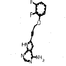 Nc1ncnc2[nH]c(C#CCOc3cccc(F)c3F)cc12